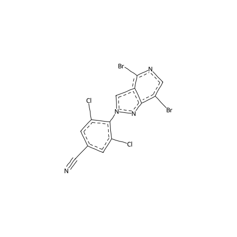 N#Cc1cc(Cl)c(-n2cc3c(Br)ncc(Br)c3n2)c(Cl)c1